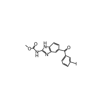 COC(=O)Nc1nc2cc(C(=O)c3cccc(I)c3)ccc2[nH]1